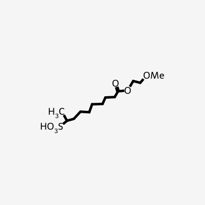 COCCOC(=O)CCCCCCCC(C)S(=O)(=O)O